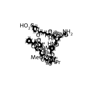 CC[C@H](C)[C@@H]([C@@H](CC(=O)N1CCC[C@H]1[C@H](OC)[C@@H](C)C(=O)N[C@H](C)[C@@H](O)c1ccccc1)OC)N(C)C(=O)[C@@H](NC(=O)[C@H](C(C)C)N(C)C(=O)OCc1ccc(NC(=O)[C@H](CCCNC(N)=O)NC(=O)[C@@H](NC(=O)CCCCC(=O)N2CCC(C(=O)O)CC2)C(C)C)cc1)C(C)C